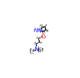 CCN(CC)CCCOc1ccc[nH]1